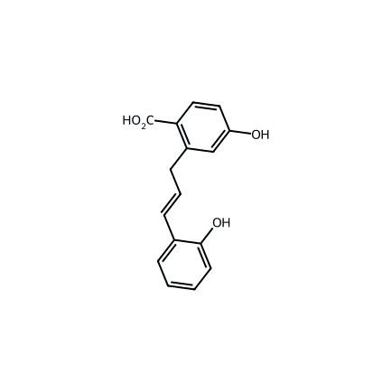 O=C(O)c1ccc(O)cc1C/C=C/c1ccccc1O